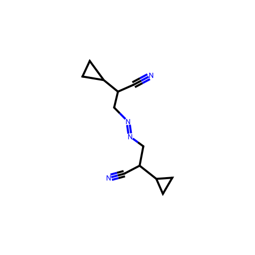 N#CC(CN=NCC(C#N)C1CC1)C1CC1